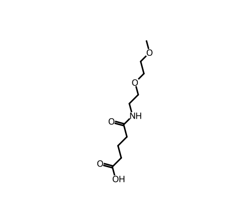 COCCOCCNC(=O)CCCC(=O)O